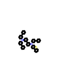 c1ccc(-c2cccc(N(c3cccc(-c4ccccc4)c3)c3cccc(-c4cccc(N(c5cccc(-c6ccccc6)c5)c5ccc6c(c5)sc5ccccc56)c4)c3)c2)cc1